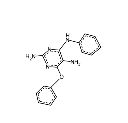 Nc1nc(Nc2ccccc2)c(N)c(Oc2ccccc2)n1